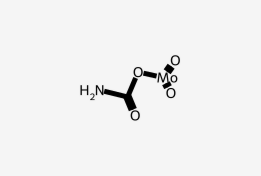 NC(=O)[O][Mo](=[O])=[O]